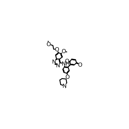 COCCOc1cc2ncnc(Nc3ccc(OC4CCCN(C)C4)cc3C3=CC(=O)C=CC3=O)c2cc1OC